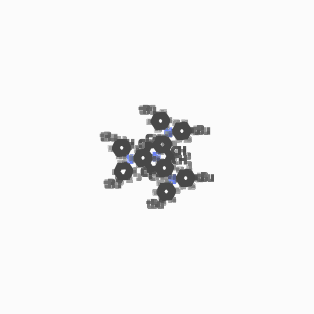 CC(C)(C)c1ccc(N(C2=CCC(C(C)(C)C)C=C2)c2cc3c4c(c2)C(C)(C)c2cc(N(c5ccc(C(C)(C)C)cc5)c5ccc(C(C)(C)C)cc5)cc5c2N4c2c(cc(N(c4ccc(C(C)(C)C)cc4)c4ccc(C(C)(C)C)cc4)cc2C5(C)C)C3(C)C)cc1